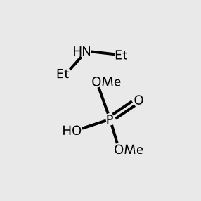 CCNCC.COP(=O)(O)OC